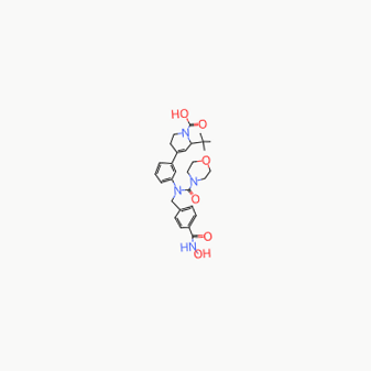 CC(C)(C)C1C=C(c2cccc(N(Cc3ccc(C(=O)NO)cc3)C(=O)N3CCOCC3)c2)CCN1C(=O)O